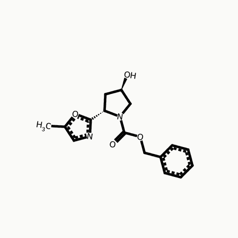 Cc1cnc([C@@H]2C[C@@H](O)CN2C(=O)OCc2ccccc2)o1